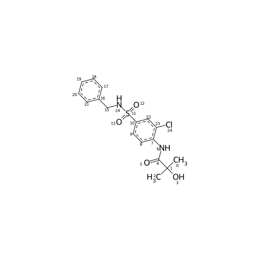 CC(C)(O)C(=O)Nc1ccc(S(=O)(=O)NCc2ccccc2)cc1Cl